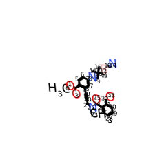 COC(=O)c1ccc(N2CC3(CB(C#N)C3)C2)cc1C#CCN(C)C(=O)c1ccccc1C=O